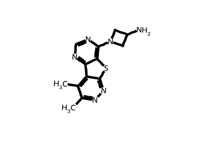 Cc1nnc2sc3c(N4CC(N)C4)ncnc3c2c1C